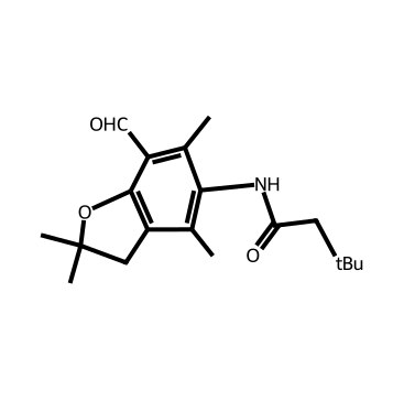 Cc1c(C=O)c2c(c(C)c1NC(=O)CC(C)(C)C)CC(C)(C)O2